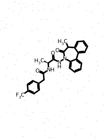 CC1C(=O)N(NC(=O)[C@H](C)NC(=O)Cc2ccc(C(F)(F)F)cc2)c2ccccc2-c2ccccc21